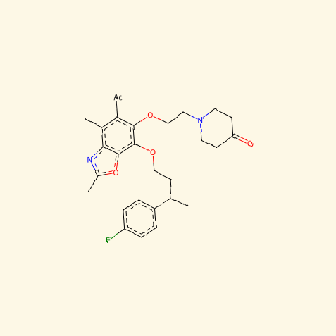 CC(=O)c1c(OCCN2CCC(=O)CC2)c(OCCC(C)c2ccc(F)cc2)c2oc(C)nc2c1C